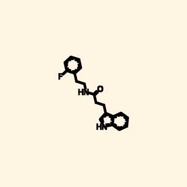 O=C(CCc1c[nH]c2ccccc12)NCCc1ccccc1F